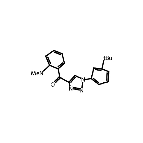 CNc1ccccc1C(=O)c1cn(-c2cccc(C(C)(C)C)c2)nn1